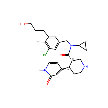 Cc1c(Br)cc(CN(C(=O)[C@@H]2CNCC[C@H]2c2ccn(C)c(=O)c2)C2CC2)cc1CCCO